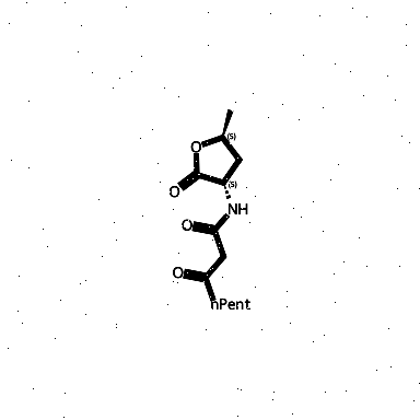 CCCCCC(=O)CC(=O)N[C@H]1C[C@H](C)OC1=O